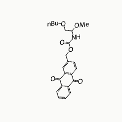 CCCCOCC(NC(=O)OCc1ccc2c(c1)C(=O)c1ccccc1C2=O)OC